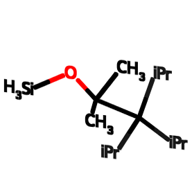 CC(C)C(C(C)C)(C(C)C)C(C)(C)O[SiH3]